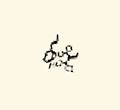 CC=C(C(=O)O)C(=O)O.CC=Cc1ccccc1